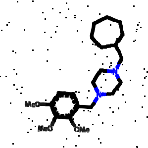 COc1ccc(CN2CCN(CC3CCCCCC3)CC2)c(OC)c1OC